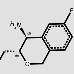 CC[C@H]1OCc2ccc(F)cc2[C@@H]1N